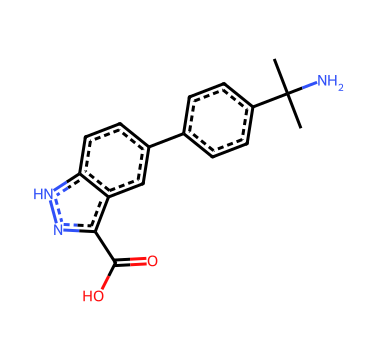 CC(C)(N)c1ccc(-c2ccc3[nH]nc(C(=O)O)c3c2)cc1